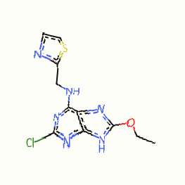 CCOc1nc2c(NCc3nccs3)nc(Cl)nc2[nH]1